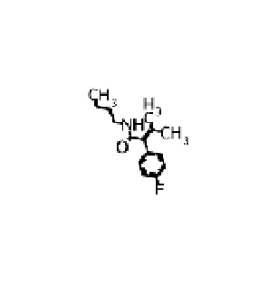 CCCCNC(=O)C(=C(C)C)c1ccc(F)cc1